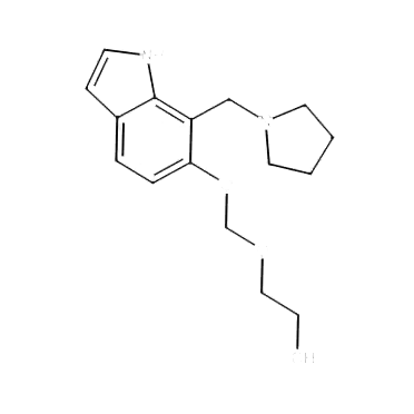 OCCOCOc1ccc2[c]c[nH]c2c1CN1CCCC1